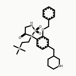 C[Si](C)(C)CC[N+]1(c2ccc(CC3CCCNC3)cc2OCc2ccccc2)C(=O)CNS1(=O)=O